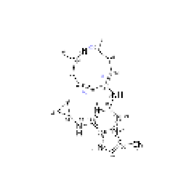 C/C1=N/N(C)C/C=C\C(Nc2nc(NC3CC3)c3ncc(C#N)n3n2)=C/C1